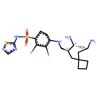 C[C@@H](N)[C@H](CNc1ccc(S(=O)(=O)Nc2ncns2)c(F)c1F)CC1(CCN)CCC1